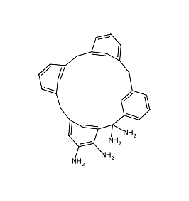 Nc1cc2cc(c1N)C(N)(N)c1cccc(c1)Cc1cccc(c1)Cc1cccc(c1)C2